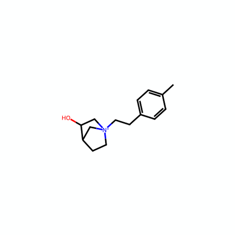 Cc1ccc(CC[N+]23CCC(C2)C(O)C3)cc1